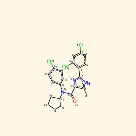 Cc1[nH]c(-c2ccc(Cl)cc2Cl)nc1C(=O)N(c1ccc(Cl)cc1)C1CCCC1